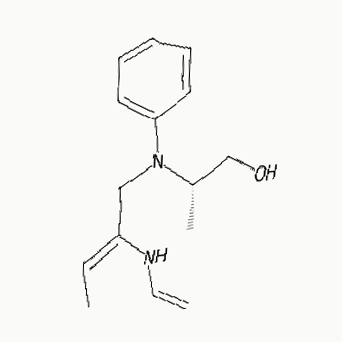 C=CN/C(=C\C)CN(c1ccccc1)[C@@H](C)CO